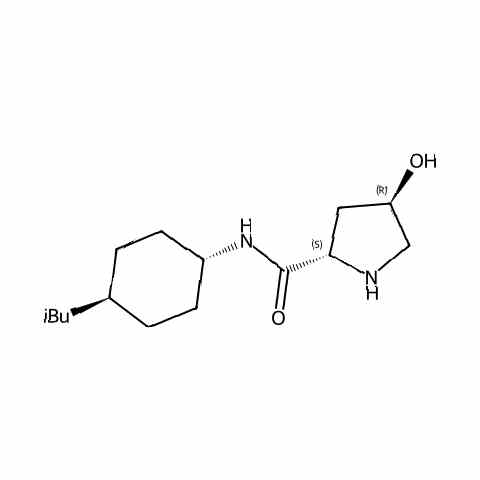 CCC(C)[C@H]1CC[C@H](NC(=O)[C@@H]2C[C@@H](O)CN2)CC1